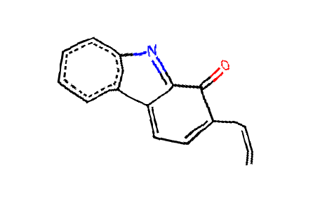 C=CC1=CC=C2C(=Nc3ccccc32)C1=O